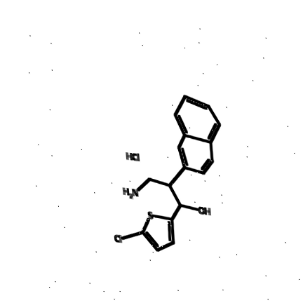 Cl.NCC(c1ccc2ccccc2c1)C(O)c1ccc(Cl)s1